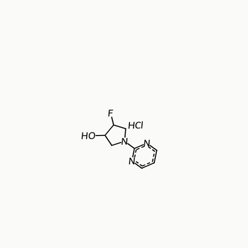 Cl.OC1CN(c2ncccn2)CC1F